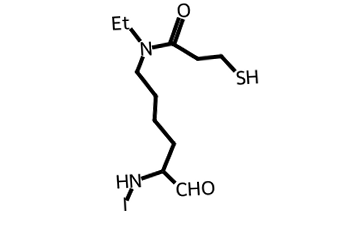 CCN(CCCCC(C=O)NI)C(=O)CCS